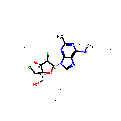 CNc1nc(C)nc2c1ncn2[C@@H]1O[C@@](CO)(CCl)[C@@H](O)[C@H]1F